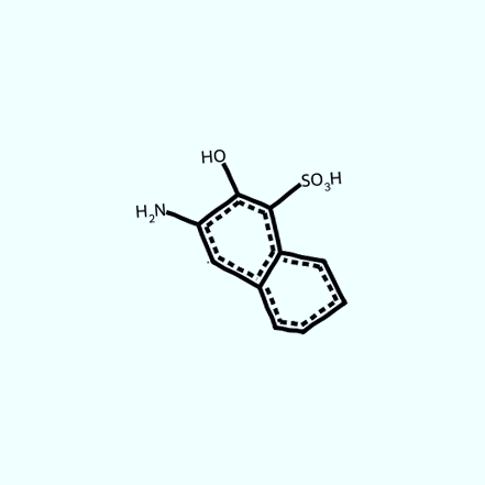 Nc1[c]c2ccccc2c(S(=O)(=O)O)c1O